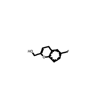 OCC1=CCc2cc(F)ccc2O1